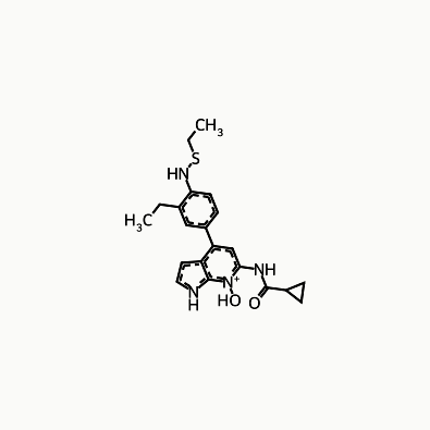 CCSNc1ccc(-c2cc(NC(=O)C3CC3)[n+](O)c3[nH]ccc23)cc1CC